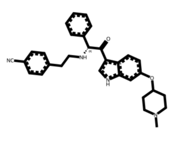 CN1CCC(Oc2ccc3c(C(=O)[C@H](NCCc4ccc(C#N)cc4)c4ccccc4)c[nH]c3c2)CC1